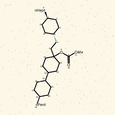 CCCCCCC[C@H]1CC[C@H](CCC2(OC(=O)OC)CCC(C3CCC(CCCCC)CC3)CC2)CC1